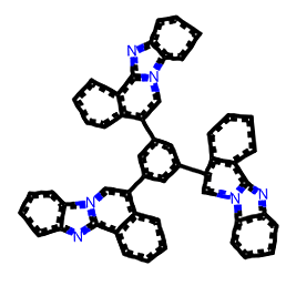 c1ccc2c(c1)nc1c3ccccc3c(-c3cc(-c4cn5c6ccccc6nc5c5ccccc45)cc(-c4cn5c6ccccc6nc5c5ccccc45)c3)cn21